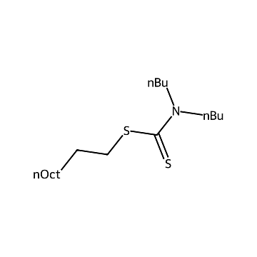 CCCCCCCCCCSC(=S)N(CCCC)CCCC